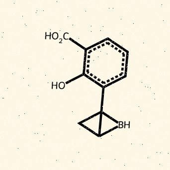 O=C(O)c1cccc(C23BC2C3)c1O